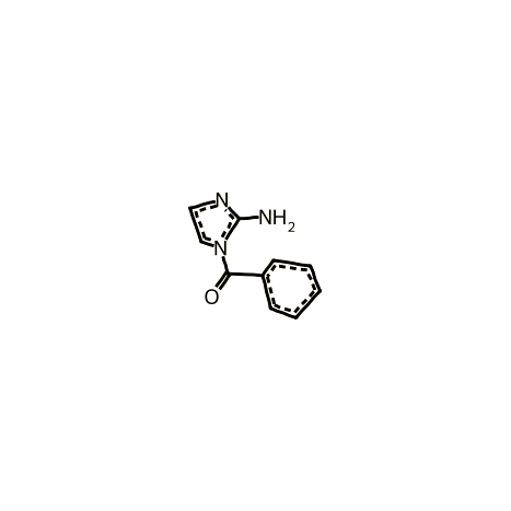 Nc1nccn1C(=O)c1ccccc1